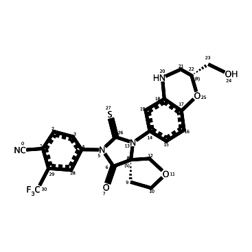 N#Cc1ccc(N2C(=O)[C@@]3(CCOC3)N(c3ccc4c(c3)NC[C@H](CO)O4)C2=S)cc1C(F)(F)F